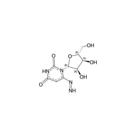 N=Nc1cc(=O)[nH]c(=O)n1[C@@H]1O[C@H](CO)[C@@H](O)[C@H]1O